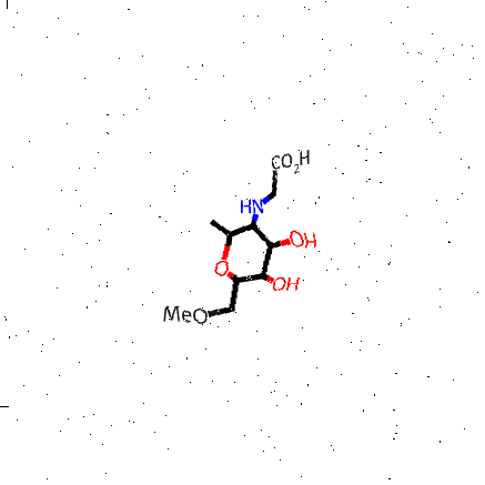 COCC1OC(C)C(NCC(=O)O)C(O)C1O